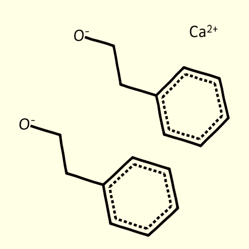 [Ca+2].[O-]CCc1ccccc1.[O-]CCc1ccccc1